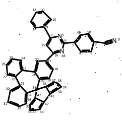 N#Cc1ccc(-c2nc(-c3ccccc3)cc(-c3ccc4c(c3)-c3ccccc3-c3ccccc3C43c4ccccc4-c4ccccc43)n2)cc1